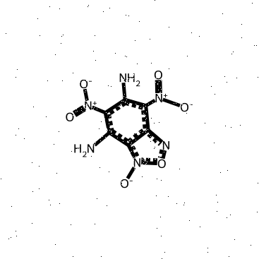 Nc1c([N+](=O)[O-])c(N)c2c(no[n+]2[O-])c1[N+](=O)[O-]